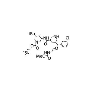 COC(=O)NCCO[C@@H](c1cccc(Cl)c1)C1CNCC(C(=O)N[C@H](CCC(C)(C)C)CN(C)C(=O)OCC[Si](C)(C)C)C1